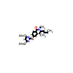 C=C/C(=C\C=C/C)N(C)C(=O)c1ccc(Sc2nc(OC)cc(OC)n2)cc1